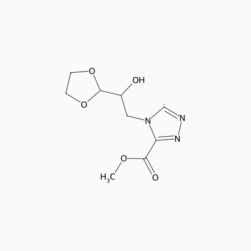 COC(=O)c1nn[c]n1CC(O)C1OCCO1